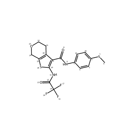 CSc1ccc(NC(=O)c2c(NC(=O)C(F)(F)F)sc3c2CCOC3)cc1